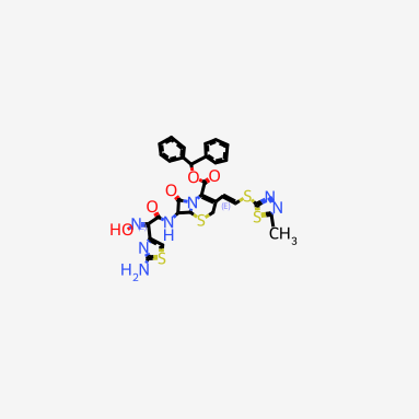 Cc1nnc(S/C=C/C2=C(C(=O)OC(c3ccccc3)c3ccccc3)N3C(=O)C(NC(=O)/C(=N/O)c4csc(N)n4)C3SC2)s1